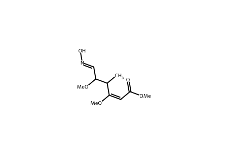 COC(=O)C=C(OC)C(C)C(C=NO)OC